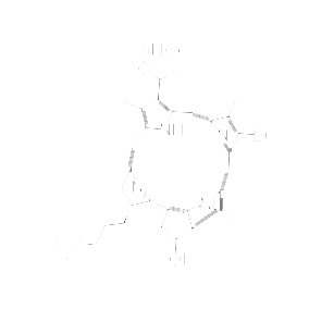 CCCCCCOC(C)c1c(C)c2cc3nc(c4c5[nH]c(cc6nc(cc1[nH]2)C(C)=C6CC)c(C)c5C(O)C4)[C@@H](CCCC(=O)O)[C@@H]3C